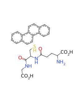 NC(CCC(=O)NC(CS)C(=O)NCC(=O)O)C(=O)O.c1ccc2c(c1)ccc1c3ccccc3ccc21